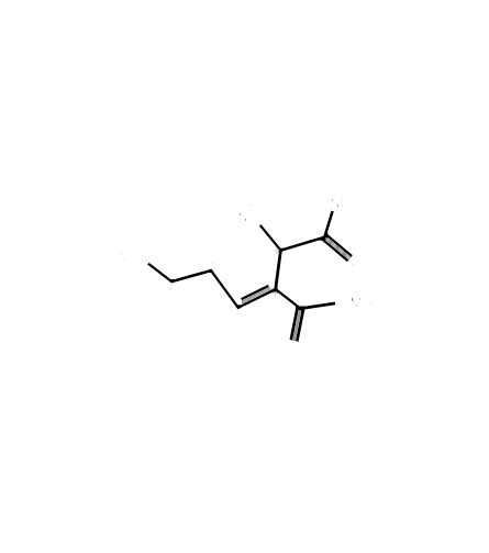 COC(=O)C(=CCCOC(C)=O)C(C#N)C(N)=O